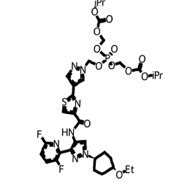 CCO[C@H]1CC[C@H](n2cc(NC(=O)c3csc(-c4cnn(COP(=O)(OCOC(=O)OC(C)C)OCOC(=O)OC(C)C)c4)n3)c(-c3nc(F)ccc3F)n2)CC1